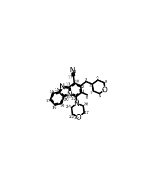 Cc1c(CC2CCOCC2)c(C#N)c2nc3ccccc3n2c1N1CCOCC1